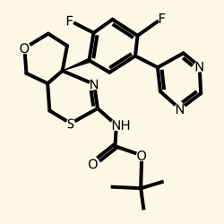 CC(C)(C)OC(=O)NC1=N[C@@]2(c3cc(-c4cncnc4)c(F)cc3F)CCOCC2CS1